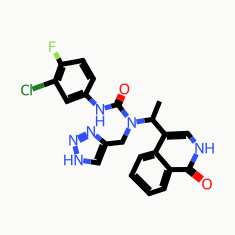 CC(c1c[nH]c(=O)c2ccccc12)N(Cc1c[nH]nn1)C(=O)Nc1ccc(F)c(Cl)c1